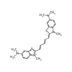 CN(C)c1ccc2c(c1)S\C(=C/C=C/C=C/c1sc3cc(N(C)C)ccc3[n+]1C)N2C